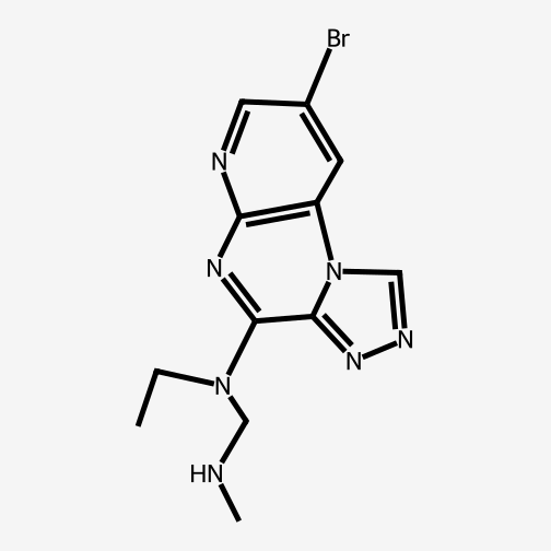 CCN(CNC)c1nc2ncc(Br)cc2n2cnnc12